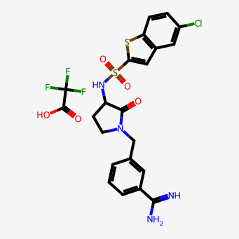 N=C(N)c1cccc(CN2CCC(NS(=O)(=O)c3cc4cc(Cl)ccc4s3)C2=O)c1.O=C(O)C(F)(F)F